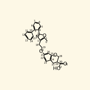 Cc1oc(-c2ccccc2-c2ccccc2)nc1CCOc1ccc2c(c1)OCC(C(=O)O)C2